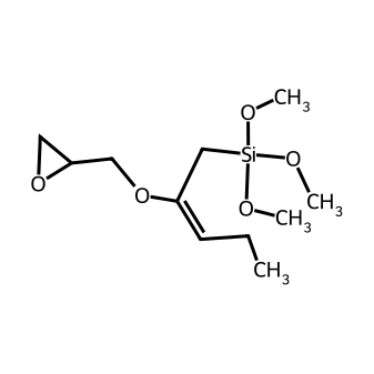 CCC=C(C[Si](OC)(OC)OC)OCC1CO1